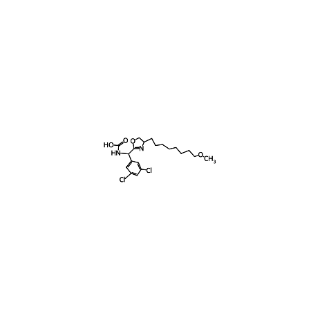 COCCCCCCCCC1COC(C(NC(=O)O)c2cc(Cl)cc(Cl)c2)=N1